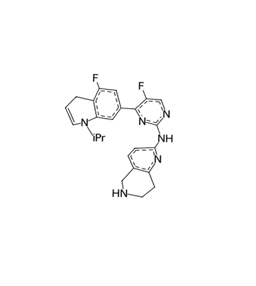 CC(C)N1C=CCc2c(F)cc(-c3nc(Nc4ccc5c(n4)CCNC5)ncc3F)cc21